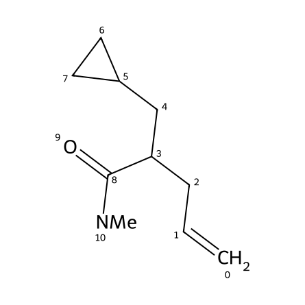 C=CCC(CC1CC1)C(=O)NC